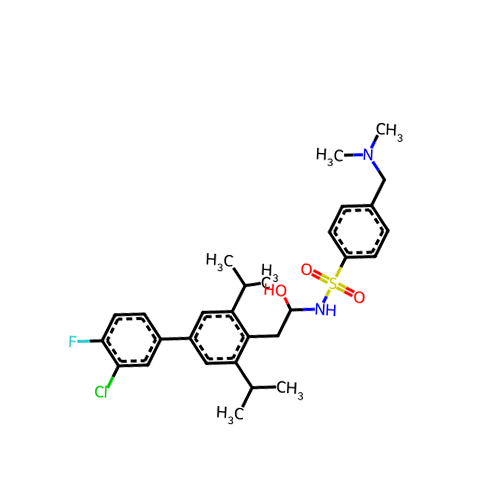 CC(C)c1cc(-c2ccc(F)c(Cl)c2)cc(C(C)C)c1CC(O)NS(=O)(=O)c1ccc(CN(C)C)cc1